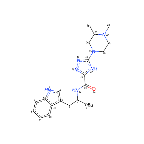 CCCCC(Cc1c[nH]c2ccccc12)NC(=O)c1nnc(N2CCN(C)C(C)C2)[nH]1